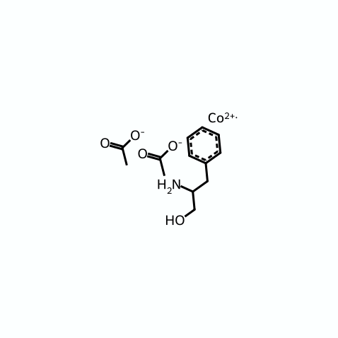 CC(=O)[O-].CC(=O)[O-].NC(CO)Cc1ccccc1.[Co+2]